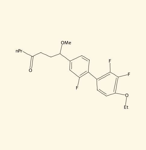 CCCC(=O)CCC(OC)c1ccc(-c2ccc(OCC)c(F)c2F)c(F)c1